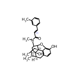 Cc1cccc(/C=C/C(=O)N(C)C2CC(C)[C@@]3(O)[C@H]4Cc5ccc(O)c6c5[C@@]3(CCN4C)C2O6)c1